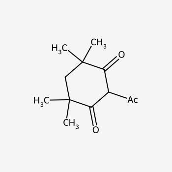 CC(=O)C1C(=O)C(C)(C)CC(C)(C)C1=O